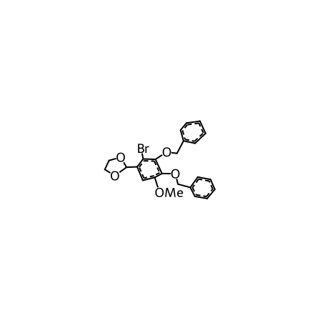 COc1cc(C2OCCO2)c(Br)c(OCc2ccccc2)c1OCc1ccccc1